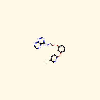 FC(F)(F)c1ccc(Oc2cccc(OCCNc3ncnc4nccnc34)c2)nc1